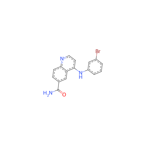 NC(=O)c1ccc2nccc(Nc3cccc(Br)c3)c2c1